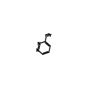 CCCc1cccnn1